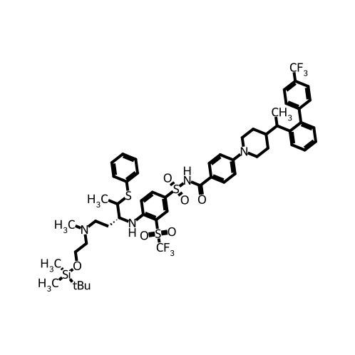 CC(c1ccccc1-c1ccc(C(F)(F)F)cc1)C1CCN(c2ccc(C(=O)NS(=O)(=O)c3ccc(N[C@H](CCN(C)CCO[Si](C)(C)C(C)(C)C)C(C)Sc4ccccc4)c(S(=O)(=O)C(F)(F)F)c3)cc2)CC1